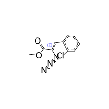 COC(=O)/C(=C/c1ccccc1Cl)N=[N+]=[N-]